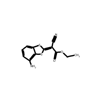 CCOC(=O)/C(C#N)=C1/Sc2cccc(N)c2S1